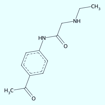 CCNCC(=O)Nc1ccc(C(C)=O)cc1